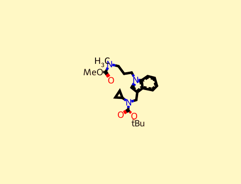 COC(=O)N(C)CCCn1cc(CN(C(=O)OC(C)(C)C)C2CC2)c2ccccc21